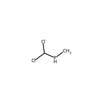 CPC(Cl)Cl